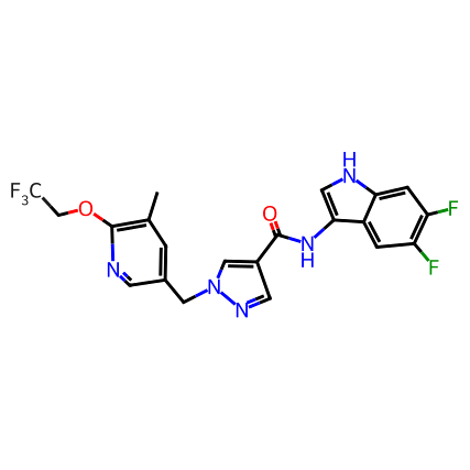 Cc1cc(Cn2cc(C(=O)Nc3c[nH]c4cc(F)c(F)cc34)cn2)cnc1OCC(F)(F)F